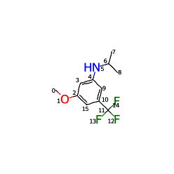 COc1cc(NC(C)C)cc(C(F)(F)F)c1